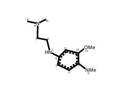 CNc1ccc(NCCN(C)C)cc1OC